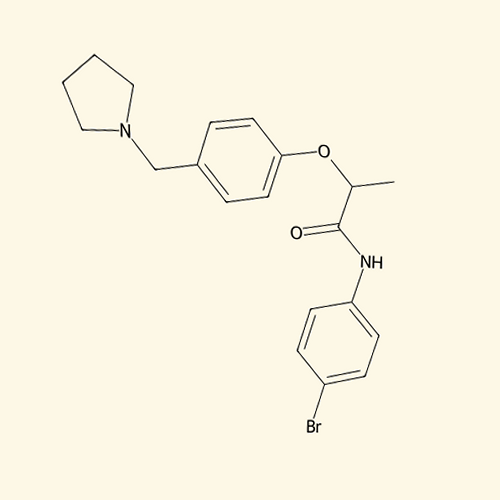 CC(Oc1ccc(CN2CCCC2)cc1)C(=O)Nc1ccc(Br)cc1